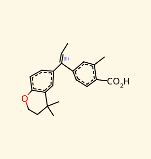 C/C=C(\c1ccc(C(=O)O)c(C)c1)c1ccc2c(c1)C(C)(C)CCO2